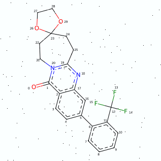 O=c1c2ccc(-c3ccccc3C(F)(F)F)cc2nc2n1CCC1(CC2)OCCO1